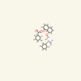 CN(C)[C@@H](CCOc1cccc2ccccc12)c1ccccc1.O=C(O)c1ccccc1